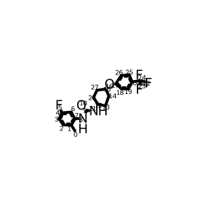 Cc1ccc(F)cc1NC(=O)NC1CCC(Oc2ccc(C(F)(F)F)cc2)CC1